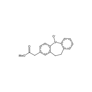 COC(=O)Cc1ccc2c(c1)CCc1ccccc1[S+]2[O-]